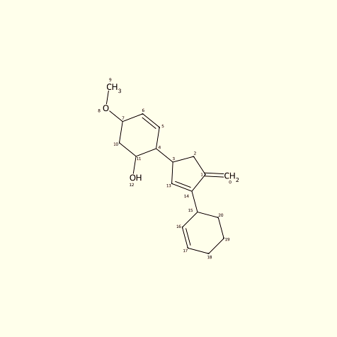 C=C1CC(C2C=CC(OC)CC2O)C=C1C1C=CCCC1